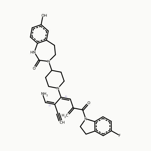 C#CC(=C/N)/C(=C\C(=C)C(=O)N1CCc2cc(F)ccc21)N1CCC(N2CCc3cc(O)ccc3NC2=O)CC1